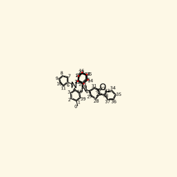 Cc1ccc(N(c2ccccc2)c2ccccc2)c(N(c2ccccc2)c2ccc3c(c2)oc2ccccc23)c1